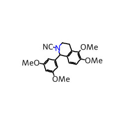 COc1cc(OC)cc(C2c3ccc(OC)c(OC)c3CCN2C#N)c1